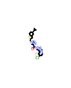 O=C(NCc1ncn2ccc(Cl)c(F)c12)c1cn(Cc2cc3cc(C4CC4)ccc3s2)nn1